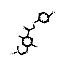 CCN(C)/C=N\c1cc(C)c(C(=O)CSc2ccc(Br)cc2)cc1Cl